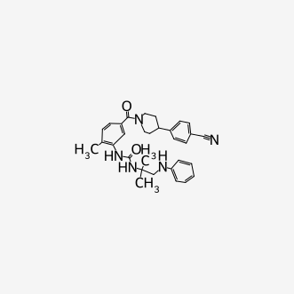 Cc1ccc(C(=O)N2CCC(c3ccc(C#N)cc3)CC2)cc1NC(=O)NC(C)(C)CNc1ccccc1